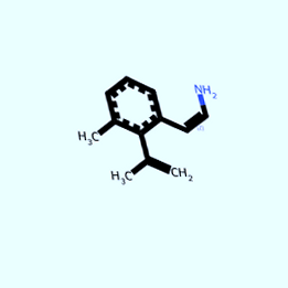 C=C(C)c1c(C)cccc1/C=C\N